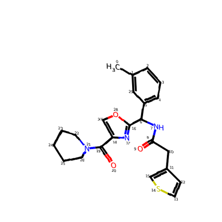 Cc1cccc(C(NC(=O)Cc2ccsc2)c2nc(C(=O)N3CCCCC3)co2)c1